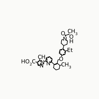 CCc1cc(OCC2=C(c3cccc(-n4ncc(C(=O)O)c4C)n3)CCCC2C)ccc1C1CCN(C(=O)[C@H](C)O)CC1